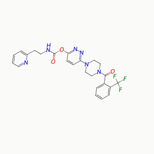 O=C(NCCc1ccccn1)Oc1ccc(N2CCN(C(=O)c3ccccc3C(F)(F)F)CC2)nn1